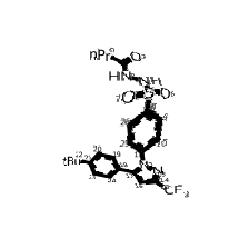 CCCC(=O)NNS(=O)(=O)c1ccc(-n2nc(C(F)(F)F)cc2-c2ccc(C(C)(C)C)cc2)cc1